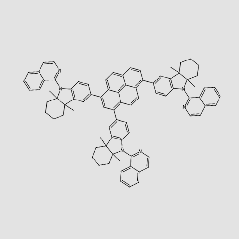 CC12CCCCC1(C)N(c1nccc3ccccc13)c1ccc(-c3ccc4ccc5c(-c6ccc7c(c6)C6(C)CCCCC6(C)N7c6nccc7ccccc67)cc(-c6ccc7c(c6)C6(C)CCCCC6(C)N7c6nccc7ccccc67)c6ccc3c4c56)cc12